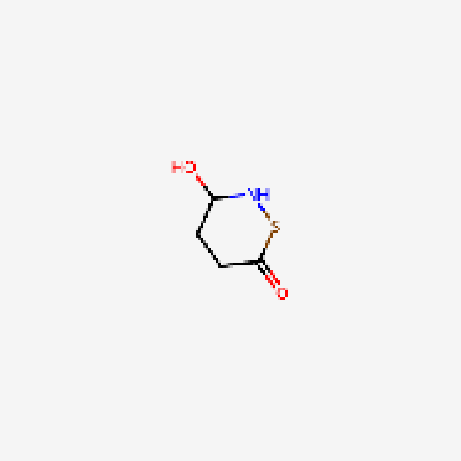 O=C1CCC(O)NS1